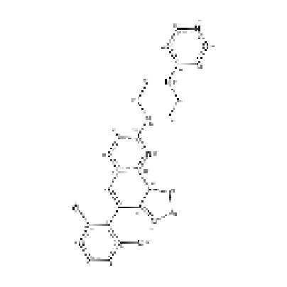 Clc1cccc(Cl)c1C1=Cc2cnc(N3CCN(c4ccncc4)CC3)nc2N2CCN=C12